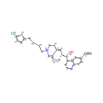 COc1ccc2nccc(C(O)CC[C@@H]3CCN(CCCCc4ccc(Cl)s4)C[C@@H]3C(=O)O)c2c1